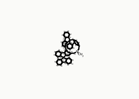 CN1Cc2ccc3c(c2)-c2ccccc2C32c3ccccc3-c3ccc(cc32)-c2cc(cc3c2-c2ccccc2C32c3ccccc3-c3ccccc32)C1